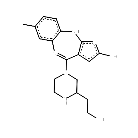 Cc1cc2c(s1)Nc1ccc(Cl)cc1N=C2N1CCNC(CCO)C1